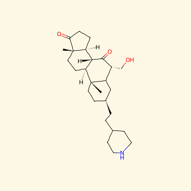 C[C@]12CC[C@H](CCC3CCNCC3)CC1[C@@H](CO)C(=O)[C@@H]1[C@@H]2CC[C@]2(C)C(=O)CC[C@@H]12